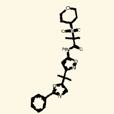 CC(C)(c1cc(NC(=O)C(C)(C)S(=O)(=O)C2CCOCC2)on1)c1cnc(-c2ccccc2)o1